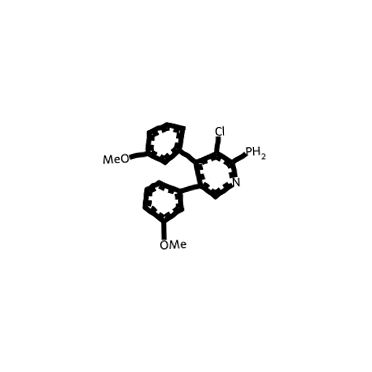 COc1cccc(-c2cnc(P)c(Cl)c2-c2cccc(OC)c2)c1